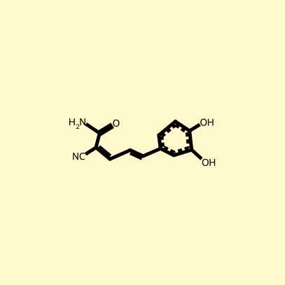 N#CC(=CC=Cc1ccc(O)c(O)c1)C(N)=O